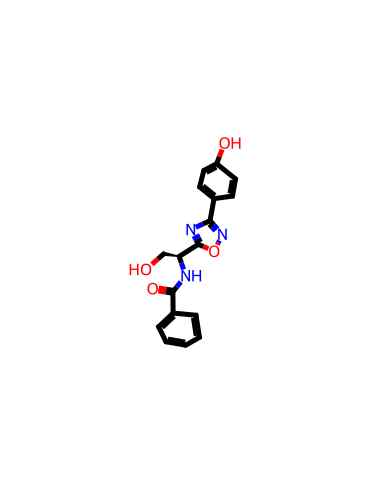 O=C(N[C@@H](CO)c1nc(-c2ccc(O)cc2)no1)c1ccccc1